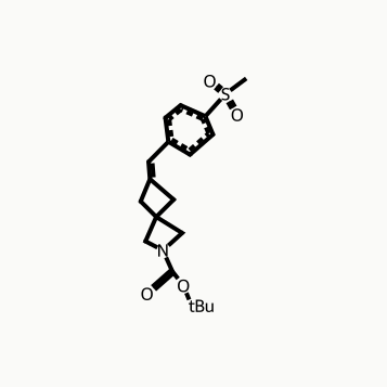 CC(C)(C)OC(=O)N1CC2(CC(=Cc3ccc(S(C)(=O)=O)cc3)C2)C1